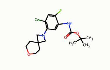 CC(C)(C)OC(=O)Nc1cc(N2CC3(CCOCC3)C2)c(Cl)cc1F